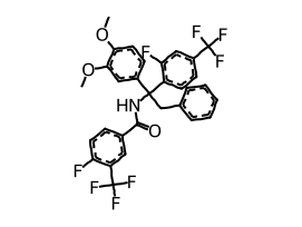 COc1ccc(C(Cc2ccccc2)(NC(=O)c2ccc(F)c(C(F)(F)F)c2)c2ccc(C(F)(F)F)cc2F)cc1OC